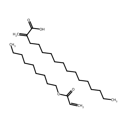 C=C(CCCCCCCCCCCCCC)C(=O)O.C=CC(=O)OCCCCCCCCC